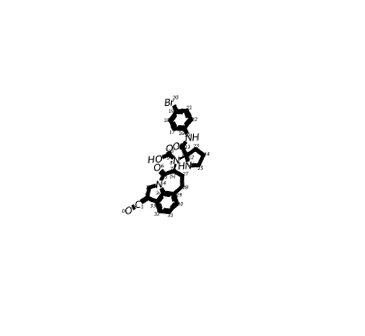 O=C=C1CN2C(=O)[C@@H](N(C(=O)O)[C@@]3(C(=O)Nc4ccc(Br)cc4)CCCN3)CCc3cccc1c32